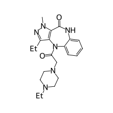 CCc1nn(C)c2c1N(C(=O)CN1CCN(CC)CC1)c1ccccc1NC2=O